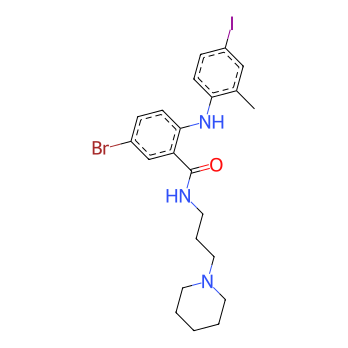 Cc1cc(I)ccc1Nc1ccc(Br)cc1C(=O)NCCCN1CCCCC1